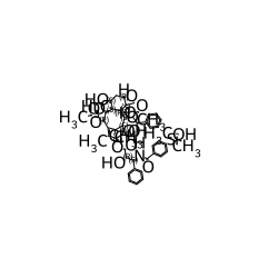 CC(=O)O[C@H]1C(=O)[C@@]2(C)[C@H]([C@H](OC(=O)c3ccccc3)[C@]3(O)C[C@H](OC(=O)[C@H](O)[C@@H](NC(=O)c4ccc([Si](C)(C)O)cc4)c4ccccc4)C(C)=C1C3(C)C)[C@]1(OC(C)=O)CO[C@@H]1C[C@@H]2O